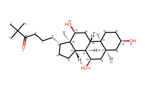 CC(C)(C)C(=O)CCC[C@H]1CC[C@H]2[C@@H]3[C@H](O)C[C@@H]4C[C@H](O)CC[C@]4(C)[C@H]3C[C@H](O)[C@]12C